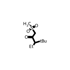 CCC(C(=O)CS(C)(=O)=O)C(C)(C)C